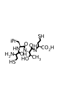 CC(C)C[C@H](NC(=O)[C@H](N)CS)C(=O)N[C@H](C(=O)N[C@@H](CCS)C(=O)O)[C@@H](C)O